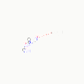 Cc1cc(C)c(CNC(=O)c2c(C)n(C(C)C3CCN(C(=O)COCCOCCOCC(=O)O)CC3)c3ccccc23)c(=O)[nH]1